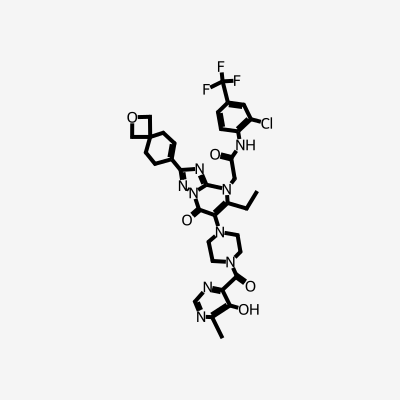 CCc1c(N2CCN(C(=O)c3ncnc(C)c3O)CC2)c(=O)n2nc(C3=CCC4(CC3)COC4)nc2n1CC(=O)Nc1ccc(C(F)(F)F)cc1Cl